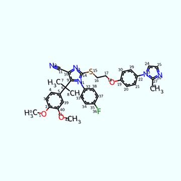 COc1ccc(C(C)(C)c2c(C#N)nc(SCCOc3ccc(-n4ccnc4C)cc3)n2-c2ccc(F)cc2)cc1OC